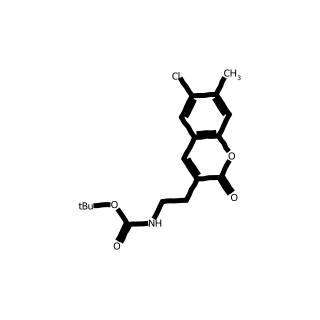 Cc1cc2oc(=O)c(CCNC(=O)OC(C)(C)C)cc2cc1Cl